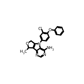 CC1OCc2c1c1ncnc(N)c1n2-c1ccc(Oc2ccccc2)c(Cl)c1